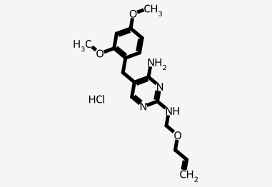 C=CCOCNc1ncc(Cc2ccc(OC)cc2OC)c(N)n1.Cl